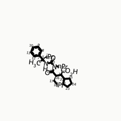 CCCN(C(=O)N[C@](C)(c1ccccc1)C(C)C)C(=O)[C@H](CC(C)C)[C@@H](C(=O)O)C1CCCC1